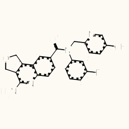 Nc1nc2ccc(C(=O)N(Cc3ccc(C(F)(F)F)cn3)c3cccc(F)c3)cc2c2c1COC2